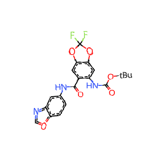 CC(C)(C)OC(=O)Nc1cc2c(cc1C(=O)Nc1ccc3ocnc3c1)OC(F)(F)O2